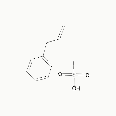 C=CCc1ccccc1.CS(=O)(=O)O